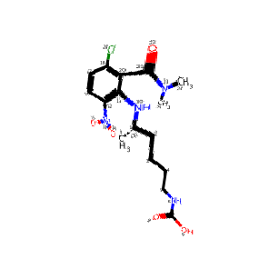 C[C@@H](CCCCNC(=O)O)Nc1c([N+](=O)[O-])ccc(Cl)c1C(=O)N(C)C